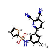 Cc1cc(NS(=O)(=O)c2cccs2)cc(-c2ccc(C#N)c(C#N)n2)c1